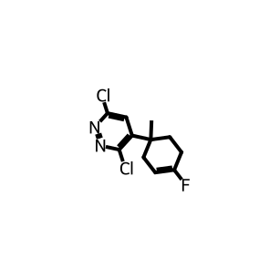 CC1(c2cc(Cl)nnc2Cl)CC=C(F)CC1